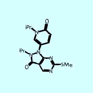 CSc1ncc2c(=O)n(C(C)C)n(-c3ccc(=O)n(C(C)C)c3)c2n1